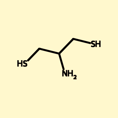 NC(CS)CS